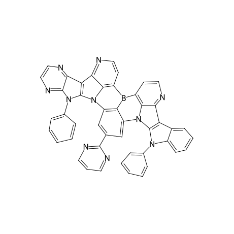 c1ccc(-n2c3ccccc3c3c4nccc5c4n(c32)-c2cc(-c3ncccn3)cc3c2B5c2ccnc4c5c6nccnc6n(-c6ccccc6)c5n-3c24)cc1